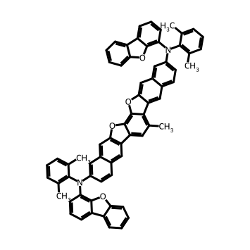 Cc1cccc(C)c1N(c1ccc2cc3c(cc2c1)oc1c3cc(C)c2c3cc4ccc(N(c5c(C)cccc5C)c5cccc6c5oc5ccccc56)cc4cc3oc12)c1cccc2c1oc1ccccc12